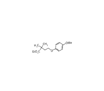 CCOC(=O)C(C)(C)CCOc1ccc(OC)cc1